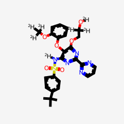 [2H]OC([2H])([2H])COc1nc(-c2ncccn2)nc(N([2H])S(=O)(=O)c2ccc(C(C)(C)C)cc2)c1Oc1ccccc1OC([2H])([2H])[2H]